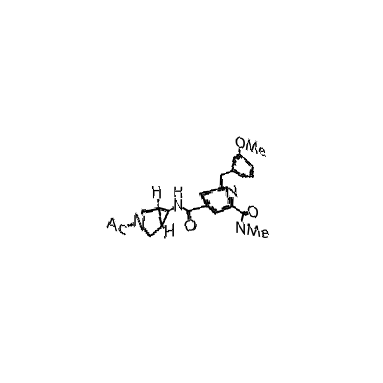 CNC(=O)c1cc(C(=O)N[C@H]2[C@@H]3CN(C(C)=O)C[C@@H]32)cc(Cc2cccc(OC)c2)n1